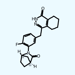 O=C1[C@H]2CC[C@@H](C2)N1c1cc(Cc2n[nH]c(=O)c3c2CCCC3)ccc1F